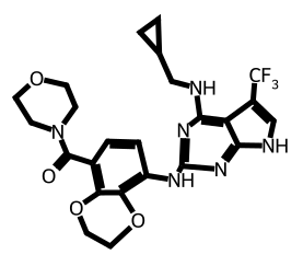 O=C(c1ccc(Nc2nc(NCC3CC3)c3c(C(F)(F)F)c[nH]c3n2)c2c1OCCO2)N1CCOCC1